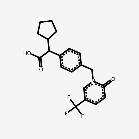 O=C(O)C(c1ccc(Cn2cc(C(F)(F)F)ccc2=O)cc1)C1CCCC1